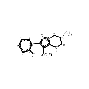 CCOC(=O)c1c(-c2ccccc2F)nn2c1OC[C@@H](C)C2